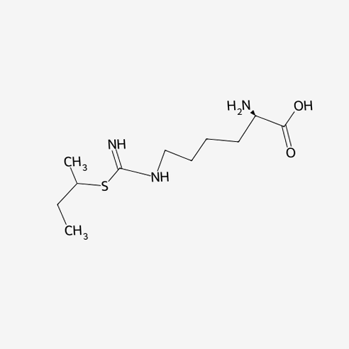 CCC(C)SC(=N)NCCCC[C@@H](N)C(=O)O